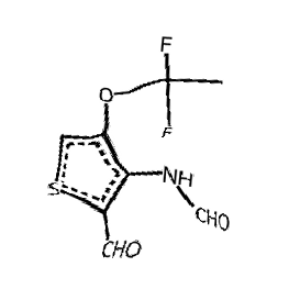 CC(F)(F)Oc1csc(C=O)c1NC=O